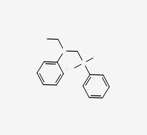 CCN(C[Si](C)(C)c1ccccc1)c1ccccc1